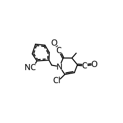 CC1C(=C=O)C=C(Cl)N(Cc2ccccc2C#N)C1=C=O